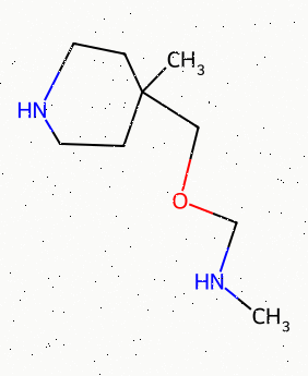 CNCOCC1(C)CCNCC1